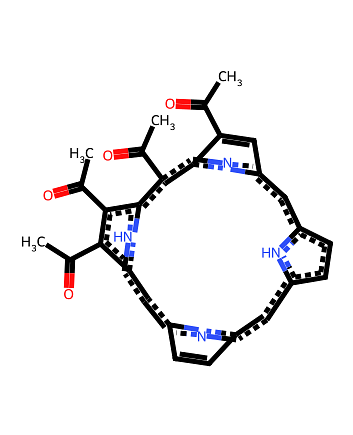 CC(=O)C1=Cc2cc3ccc(cc4nc(cc5[nH]c(c(C(C)=O)c1n2)c(C(C)=O)c5C(C)=O)C=C4)[nH]3